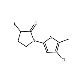 Cc1sc(N2CCC(I)C2=O)cc1Cl